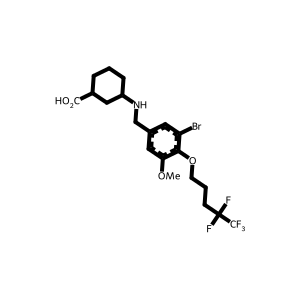 COc1cc(CNC2CCCC(C(=O)O)C2)cc(Br)c1OCCCC(F)(F)C(F)(F)F